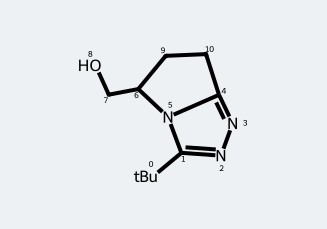 CC(C)(C)c1nnc2n1C(CO)CC2